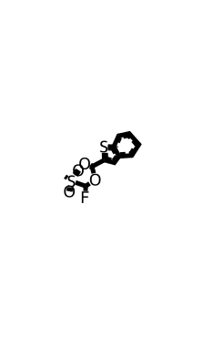 CS(=O)(=O)C(F)OC(=O)c1cc2ccccc2s1